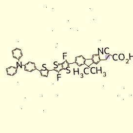 CC1(C)c2cc(/C=C(\C#N)C(=O)O)ccc2-c2ccc(-c3sc4c(F)c(-c5ccc(-c6ccc(N(c7ccccc7)c7ccccc7)cc6)s5)sc4c3F)cc21